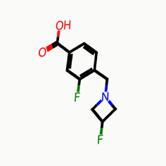 O=C(O)c1ccc(CN2CC(F)C2)c(F)c1